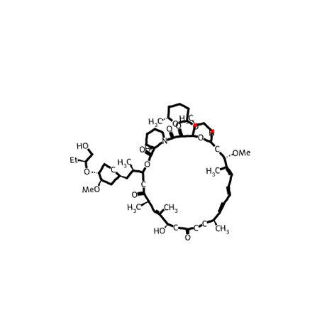 CC[C@@H](CO)O[C@@H]1CC[C@@H](C[C@@H](C)C2CC(=O)[C@H](C)/C=C(\C)[C@@H](O)CC(=O)CC[C@H](C)/C=C/C=C/C=C(\C)[C@@H](OC)C[C@@H]3CC[C@@H](C)[C@@](OC4CCC[C@@H](C)O4)(O3)C(=O)C(=O)N3CCCC[C@H]3C(=O)O2)C[C@H]1OC